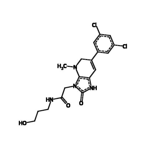 CN1CC(c2cc(Cl)cc(Cl)c2)=Cc2[nH]c(=O)n(CC(=O)NCCCO)c21